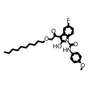 CCCCCCCCCCOCC(=O)c1c(O)n(C(=O)Nc2ccc(OC)cc2)c2ccc(F)cc12